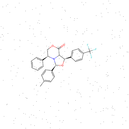 Cc1ccc([C@@H]2O[C@H](c3ccc(C(F)(F)F)cc3)C3C(=O)OC[C@H](c4ccccc4)N32)cc1